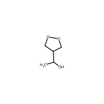 CC(O)C1COOC1